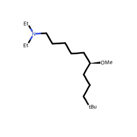 CCN(CC)CCCCC[C@H](CCCC(C)(C)C)OC